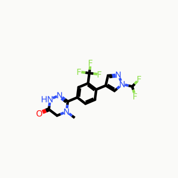 CN1CC(=O)NN=C1c1ccc(-c2cnn(C(F)F)c2)c(C(F)(F)F)c1